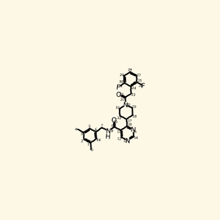 Cc1cc(C)cc(CNC(=O)c2cncnc2C2CCN(C(=O)Cc3c(F)cccc3F)CC2)c1